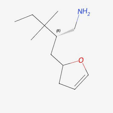 CCC(C)(C)[C@H](CN)CC1CC=CO1